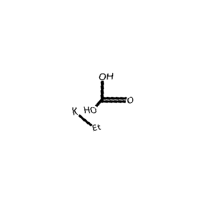 C[CH2][K].O=C(O)O